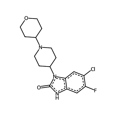 O=c1[nH]c2cc(F)c(Cl)cc2n1C1CCN(C2CCOCC2)CC1